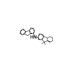 CC1(C)C2=CCCCC2c2ccc(Nc3cccc4c3Cc3ccccc3-4)cc21